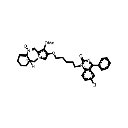 COc1c(OCCCCCn2c(=O)nc(-c3ccccc3)c3cc(Cl)ccc32)cn2c1C=[N+]([O-])C1=CCCC[C@H]1C2